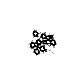 Cc1ccc(C2(c3ccccc3)c3ccccc3-c3cc(N(c4ccccc4)c4ccc5c(c4)C4(c6ccccc6Oc6ccccc64)c4ccccc4-5)ccc32)cc1